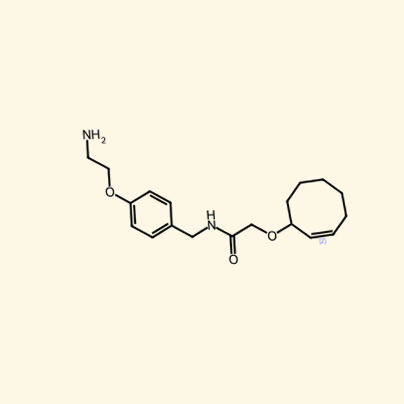 NCCOc1ccc(CNC(=O)COC2/C=C\CCCCC2)cc1